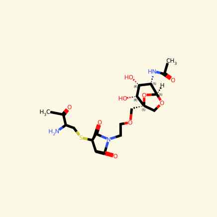 CC(=O)N[C@@H]1[C@H]2OC[C@](COCCN3C(=O)CC(SCC(N)C(C)=O)C3=O)(O2)[C@H](O)[C@@H]1O